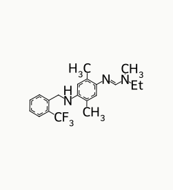 CCN(C)C=Nc1cc(C)c(NCc2ccccc2C(F)(F)F)cc1C